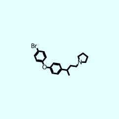 CC(CCN1CCCC1)c1ccc(Oc2ccc(Br)cc2)cc1